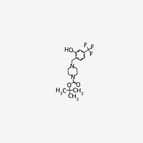 CC(C)(C)OC(=O)N1CCN(Cc2ccc(C(F)(F)F)cc2O)CC1